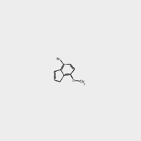 COc1ccc(Br)c2c1CC=C2